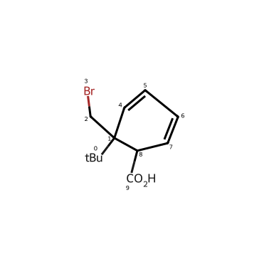 CC(C)(C)C1(CBr)C=CC=CC1C(=O)O